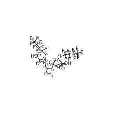 CC(CCN(CC(F)(F)C(F)(F)C(F)(F)C(F)(F)F)C(=O)O)CC(C)(C)CN(CC(F)(F)C(F)(F)C(F)(F)C(F)(F)F)C(=O)O